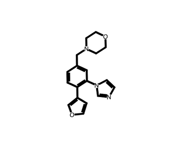 c1cn(-c2cc(CN3CCOCC3)ccc2-c2ccoc2)cn1